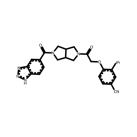 CC(C)c1cc(C#N)ccc1OCC(=O)N1CC2CN(C(=O)c3ccc4[nH]nnc4c3)CC2C1